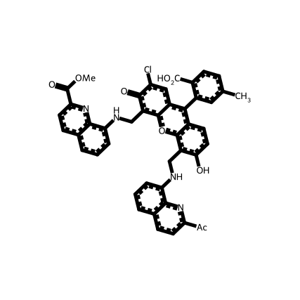 COC(=O)c1ccc2cccc(NCc3c4oc5c(CNc6cccc7ccc(C(C)=O)nc67)c(O)ccc5c(-c5cc(C)ccc5C(=O)O)c-4cc(Cl)c3=O)c2n1